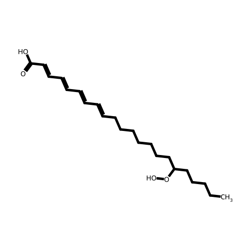 CCCCCC(CCCCCCCC=CC=CC=CC=CC(=O)O)OO